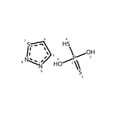 OP(O)(=S)S.c1csnn1